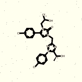 C[C@H](O)c1nc(Cn2cc(-c3ccc(Cl)cc3)n(CC(O)C(F)(F)F)c2=O)nn1-c1ccc(Cl)cc1